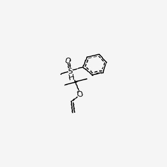 C=COC(C)(C)[SH](C)(=O)c1ccccc1